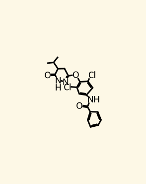 CC(C)C1CC(Oc2c(Cl)cc(NC(=O)c3ccccc3)cc2Cl)=NNC1=O